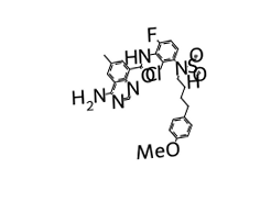 COc1ccc(CCCCN(c2ccc(F)c(NC(=O)c3cc(C)cc4c(N)ncnc34)c2Cl)[SH](=O)=O)cc1